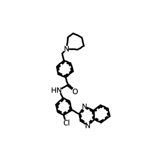 O=C(Nc1ccc(Cl)c(-c2cnc3ccccc3n2)c1)c1ccc(CN2CCCCC2)cc1